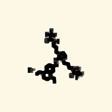 CCN1CCN(CC)c2cc(/N=N/c3n(CCCNC(=O)C(F)(F)F)cc[n+]3CCCNC(=O)C(F)(F)F)ccc21.[Br-]